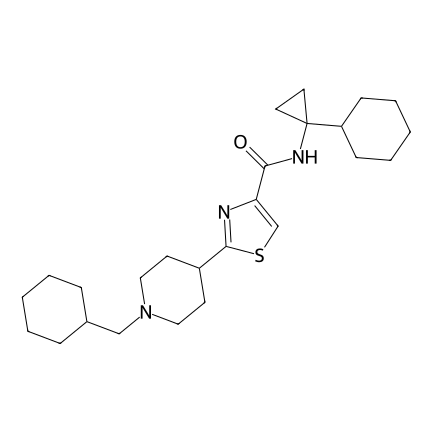 O=C(NC1(C2CCCCC2)CC1)c1csc(C2CCN(CC3CCCCC3)CC2)n1